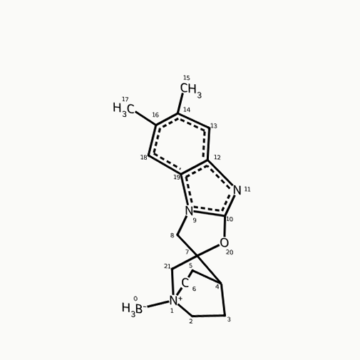 [BH3-][N+]12CCC(CC1)C1(Cn3c(nc4cc(C)c(C)cc43)O1)C2